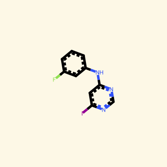 Fc1cccc(Nc2cc(I)ncn2)c1